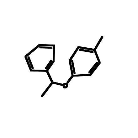 Cc1ccc(OC(C)c2ccccc2)cc1